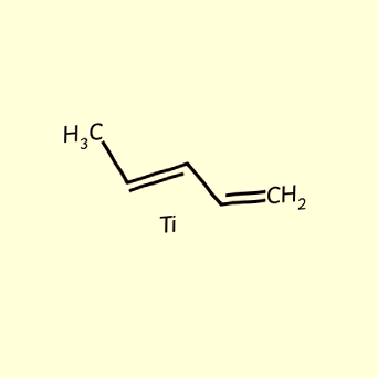 C=CC=CC.[Ti]